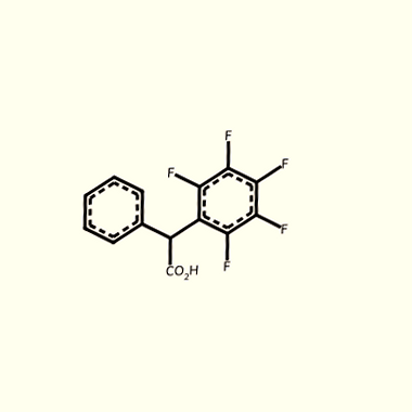 O=C(O)C(c1ccccc1)c1c(F)c(F)c(F)c(F)c1F